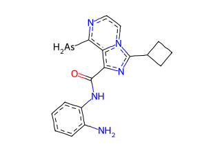 Nc1ccccc1NC(=O)c1nc(C2CCC2)n2ccnc([AsH2])c12